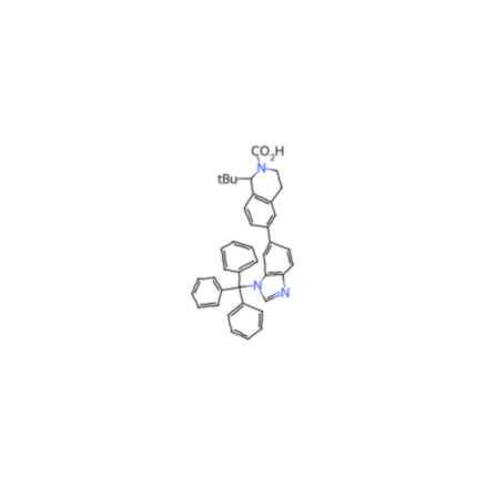 CC(C)(C)C1c2ccc(-c3ccc4ncn(C(c5ccccc5)(c5ccccc5)c5ccccc5)c4c3)cc2CCN1C(=O)O